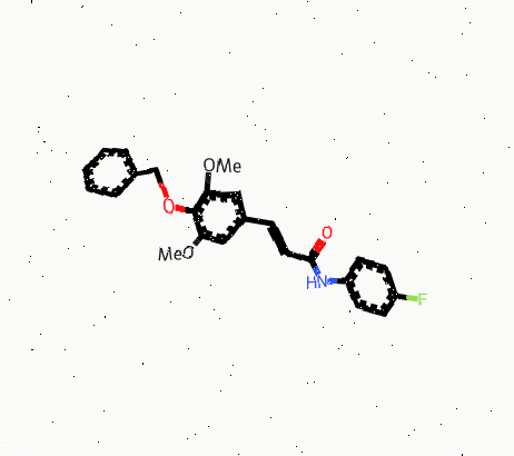 COc1cc(C=CC(=O)Nc2ccc(F)cc2)cc(OC)c1OCc1ccccc1